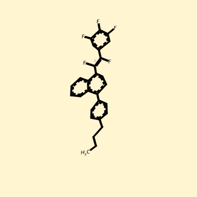 CCCCc1ccc(-c2ccc(/C(F)=C(\F)c3cc(F)c(F)c(F)c3)c3ccccc23)cc1